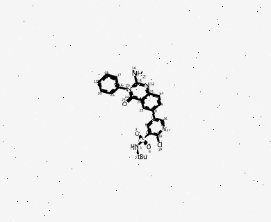 CC(C)(C)NS(=O)(=O)c1cc(-c2ccc3nc(N)n(-c4ccccc4)c(=O)c3c2)cnc1Cl